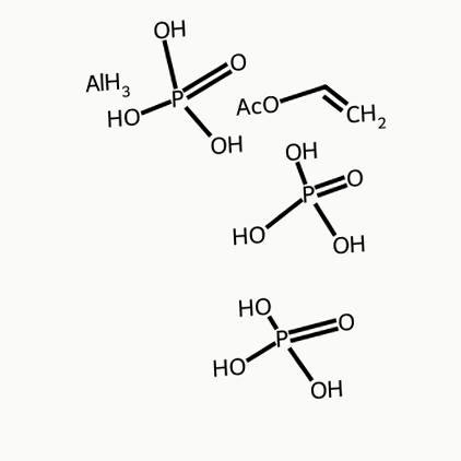 C=COC(C)=O.O=P(O)(O)O.O=P(O)(O)O.O=P(O)(O)O.[AlH3]